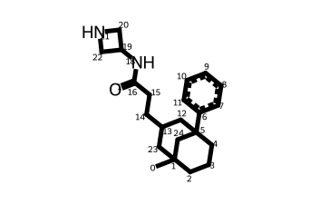 CC12CCCC(c3ccccc3)(CC(CCC(=O)NC3CNC3)C1)C2